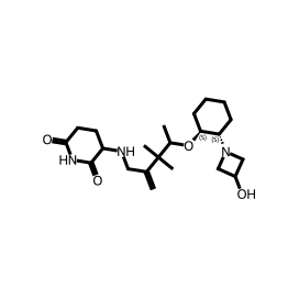 C=C(CNC1CCC(=O)NC1=O)C(C)(C)C(C)O[C@H]1CCCC[C@@H]1N1CC(O)C1